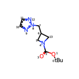 CC(C)(C)OC(=O)N1CC(Cn2nccn2)C1